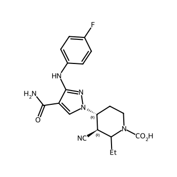 CCC1[C@@H](C#N)[C@H](n2cc(C(N)=O)c(Nc3ccc(F)cc3)n2)CCN1C(=O)O